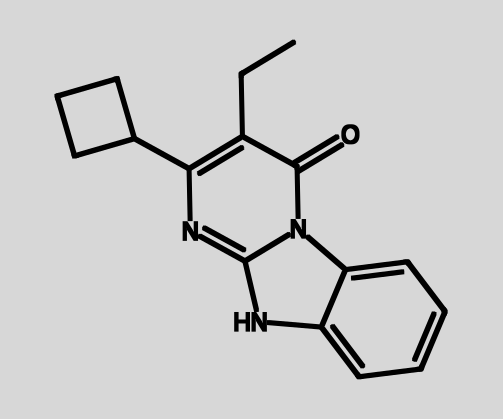 CCc1c(C2CCC2)nc2[nH]c3ccccc3n2c1=O